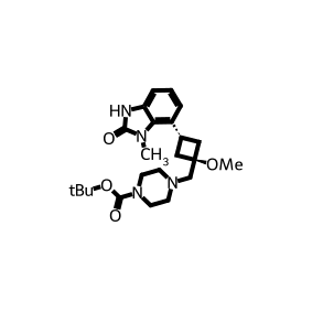 CO[C@]1(CN2CCN(C(=O)OC(C)(C)C)CC2)C[C@@H](c2cccc3[nH]c(=O)n(C)c32)C1